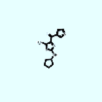 Nc1nc(NC2CCCC2)sc1C(=O)c1ccsc1